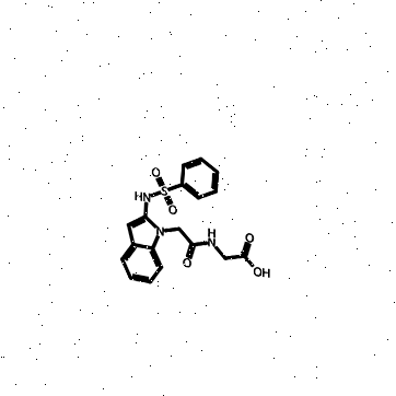 O=C(O)CNC(=O)Cn1c(NS(=O)(=O)c2ccccc2)cc2ccccc21